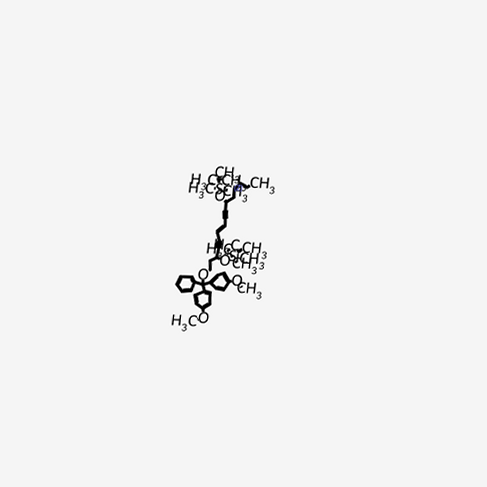 CC/C=C\CC(C#CC=CC#CC(CCOC(c1ccccc1)(c1ccc(OC)cc1)c1ccc(OC)cc1)O[Si](C)(C)C(C)(C)C)O[Si](C)(C)C(C)(C)C